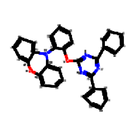 c1ccc(-c2nc(Oc3ccccc3N3c4ccccc4Oc4ccccc43)nc(-c3ccccc3)n2)cc1